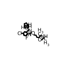 C[C@@H]1N[C@@H](C)COC1CCCOc1nc(N2C[C@H]3CC[C@@H](C2)N3)c2cc(Cl)cc(F)c2n1